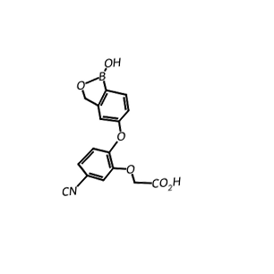 [C-]#[N+]c1ccc(Oc2ccc3c(c2)COB3O)c(OCC(=O)O)c1